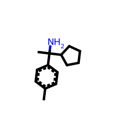 Cc1ccc(C(C)(N)C2CCCC2)cc1